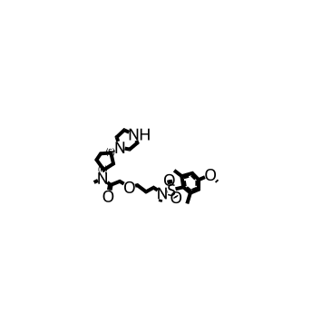 COc1cc(C)c(S(=O)(=O)N(C)CCCOCC(=O)N(C)[C@@H]2CC[C@H](N3CCNCC3)C2)c(C)c1